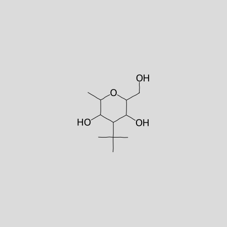 CC1OC(CO)C(O)C(C(C)(C)C)C1O